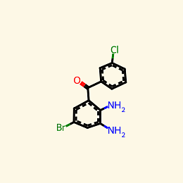 Nc1cc(Br)cc(C(=O)c2cccc(Cl)c2)c1N